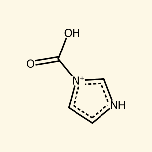 O=C(O)[n+]1cc[nH]c1